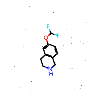 FC(F)Oc1ccc2c(c1)CCNC2